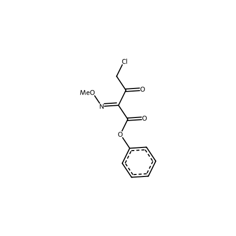 CON=C(C(=O)CCl)C(=O)Oc1ccccc1